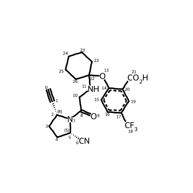 C#C[C@H]1CC[C@@H](C#N)N1C(=O)CNC1(Oc2ccc(C(F)(F)F)cc2C(=O)O)CCCCC1